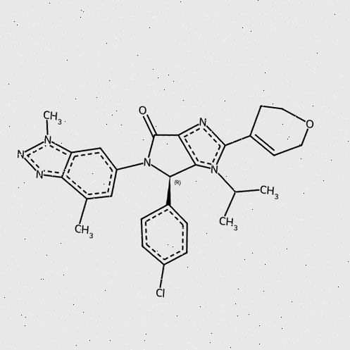 Cc1cc(N2C(=O)c3nc(C4=CCOCC4)n(C(C)C)c3[C@H]2c2ccc(Cl)cc2)cc2c1nnn2C